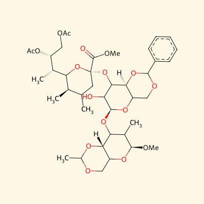 COC(=O)[C@@]1(OC2C(O)[C@H](OC3C(C)[C@@H](OC)OC4COC(C)O[C@@H]43)OC3COC(c4ccccc4)O[C@@H]32)CC(C)[C@@H](C)C([C@H](C)[C@@H](COC(C)=O)OC(C)=O)O1